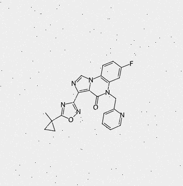 CC1(c2nc(-c3ncn4c3c(=O)n(Cc3ccccn3)c3cc(F)ccc34)no2)CC1